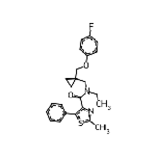 CCN(CC1(COc2ccc(F)cc2)CC1)C(=O)c1nc(C)sc1-c1ccccc1